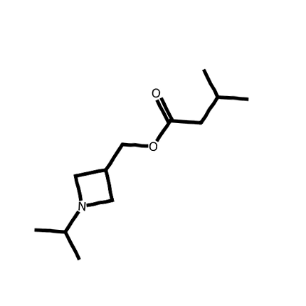 CC(C)CC(=O)OCC1CN(C(C)C)C1